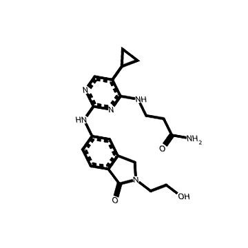 NC(=O)CCNc1nc(Nc2ccc3c(c2)CN(CCO)C3=O)ncc1C1CC1